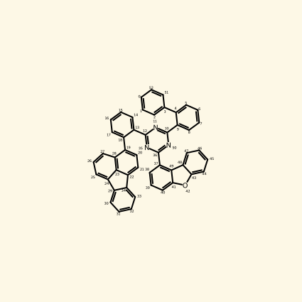 c1ccc(-c2ccccc2-c2nc(-c3ccccc3-c3ccc4c5c(cccc35)-c3ccccc3-4)nc(-c3cccc4oc5ccccc5c34)n2)cc1